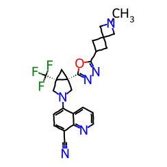 CN1CC2(CC(c3nnc([C@]45CN(c6ccc(C#N)c7ncccc67)C[C@@]4(C(F)(F)F)C5)o3)C2)C1